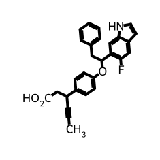 CC#CC(CC(=O)O)c1ccc(OC(Cc2ccccc2)c2cc3[nH]ccc3cc2F)cc1